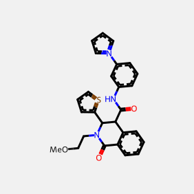 COCCN1C(=O)c2ccccc2C(C(=O)Nc2cccc(-n3cccc3)c2)C1c1cccs1